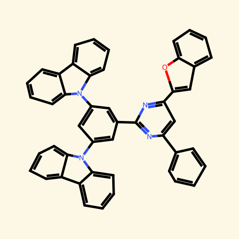 c1ccc(-c2cc(-c3cc4ccccc4o3)nc(-c3cc(-n4c5ccccc5c5ccccc54)cc(-n4c5ccccc5c5ccccc54)c3)n2)cc1